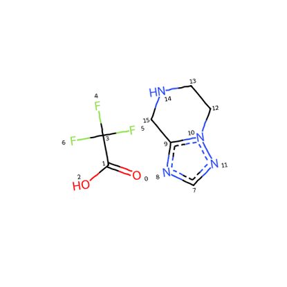 O=C(O)C(F)(F)F.c1nc2n(n1)CCNC2